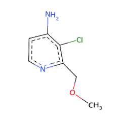 COCc1nccc(N)c1Cl